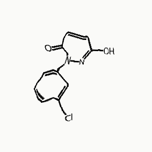 O=c1ccc(O)nn1-c1cccc(Cl)c1